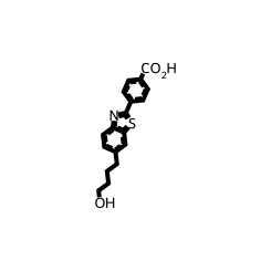 O=C(O)c1ccc(-c2nc3ccc(CCCCO)cc3s2)cc1